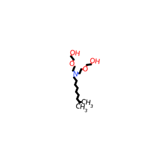 CC(C)CCCCCCCN(CCOCCO)CCOCCO